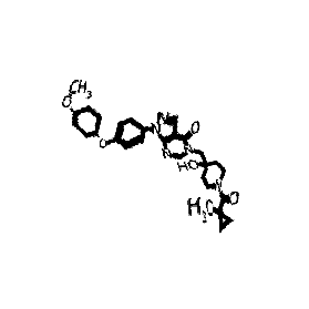 CO[C@H]1CC[C@H](Oc2ccc(-n3ncc4c(=O)n(CC5(O)CCN(C(=O)C6(C)CC6)CC5)cnc43)cc2)CC1